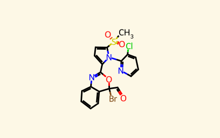 CS(=O)(=O)c1ccc(C2=Nc3ccccc3C(Br)(C=O)O2)n1-c1ncccc1Cl